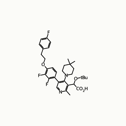 Cc1ncc(-c2ccc(OCCc3ccc(F)cc3)c(F)c2F)c(N2CCC(C)(C)CC2)c1C(OC(C)(C)C)C(=O)O